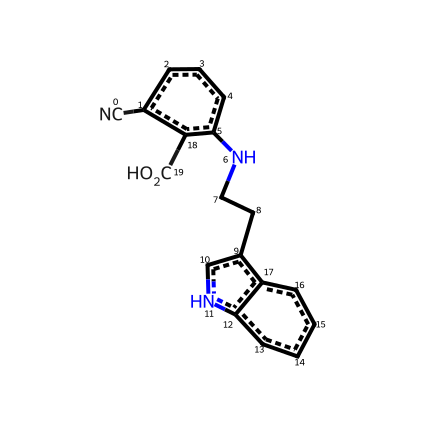 N#Cc1cccc(NCCc2c[nH]c3ccccc23)c1C(=O)O